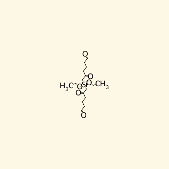 CCO[Si](CC(=O)CCCC=O)(CC(=O)CCCC=O)OCC